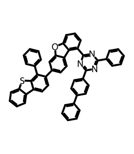 c1ccc(-c2ccc(-c3nc(-c4ccccc4)nc(-c4cccc5oc6cc(-c7ccc8c(sc9ccccc98)c7-c7ccccc7)ccc6c45)n3)cc2)cc1